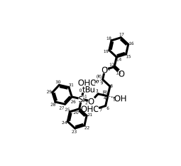 CC(C)(C)[Si](OC[C@](O)(CC=O)C[C@H](C=O)OC(=O)c1ccccc1)(c1ccccc1)c1ccccc1